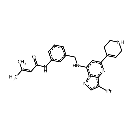 CC(C)=CC(=O)Nc1cccc(CNc2cc(C3=CCNCC3)nc3c(C(C)C)cnn23)c1